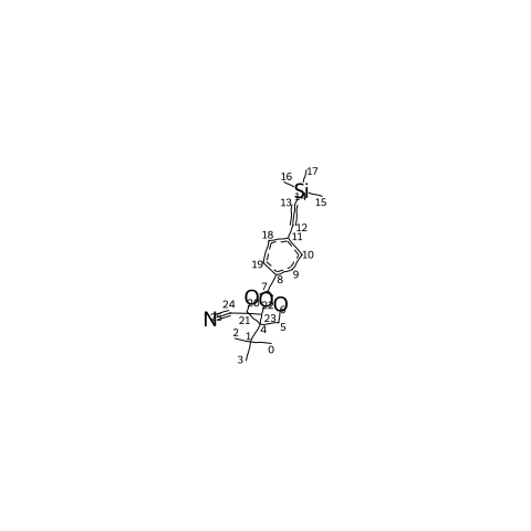 CC(C)(C)C12COC(c3ccc(C#C[Si](C)(C)C)cc3)(OC1)OC2C#N